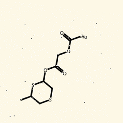 CCC(C)C(=O)OCC(=O)OC1CSCC(C)S1